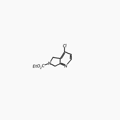 CCOC(=O)N1Cc2nccc(Cl)c2C1